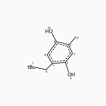 Cc1cc(O)c(CC(C)(C)C)cc1O